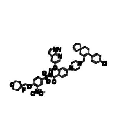 O=C(NS(=O)(=O)c1ccc(OCC2(F)CCOCC2)c([N+](=O)[O-])c1)c1ccc(N2CCN(CC3=C(c4ccc(Cl)cc4)CCC4(CCCC4)C3)CC2)cc1Oc1cnc2[nH]ccc2c1